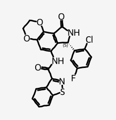 O=C1N[C@H](c2cc(F)ccc2Cl)c2c(NC(=O)c3nsc4ccccc34)cc3c(c21)OCCO3